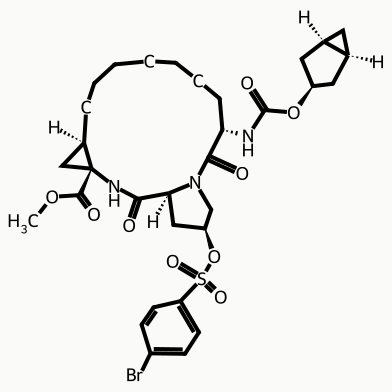 COC(=O)[C@@]12C[C@H]1CCCCCCC[C@H](NC(=O)O[C@@H]1C[C@@H]3C[C@@H]3C1)C(=O)N1C[C@@H](OS(=O)(=O)c3ccc(Br)cc3)C[C@H]1C(=O)N2